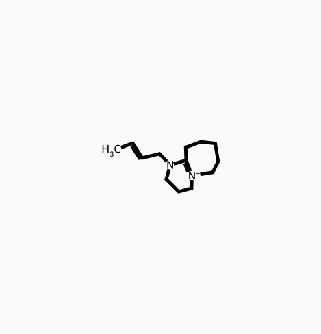 CC=CCN1CCC[N+]2=C1CCCCC2